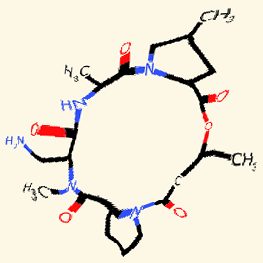 CC1CC2C(=O)OC(C)CC(=O)N3CCCC3C(=O)N(C)C(CN)C(=O)NC(C)C(=O)N2C1